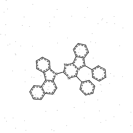 c1ccc(-c2nc(-n3c4ccccc4c4c5ccccc5ccc43)nc3c4ccccc4c(-c4ccccc4)n23)cc1